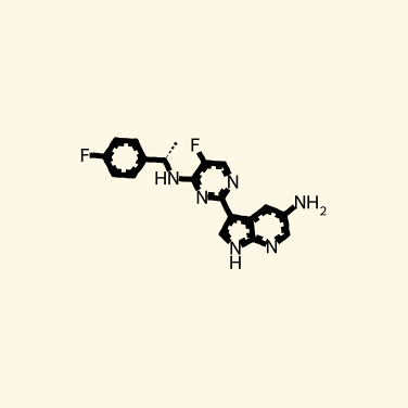 C[C@H](Nc1nc(-c2c[nH]c3ncc(N)cc23)ncc1F)c1ccc(F)cc1